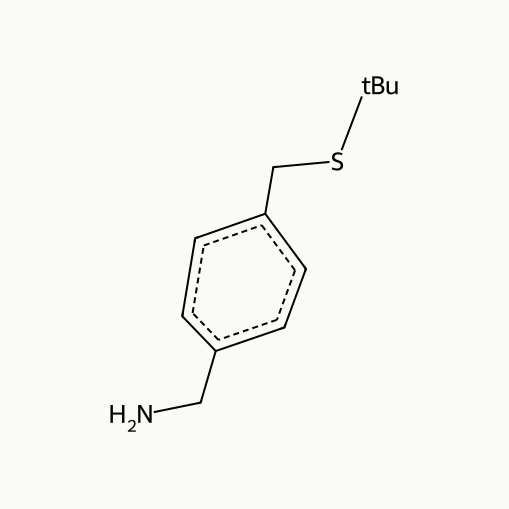 CC(C)(C)SCc1ccc(CN)cc1